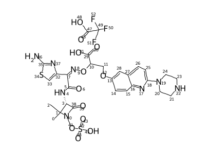 CC1(C)[C@H](NC(=O)/C(=N\OC(COc2ccc3nc(N4CCNCC4)ccc3c2)C(=O)O)c2csc(N)n2)C(=O)N1OS(=O)(=O)O.O=C(O)C(F)(F)F